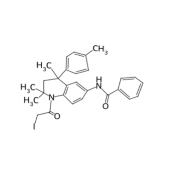 Cc1ccc(C2(C)CC(C)(C)N(C(=O)CI)c3ccc(NC(=O)c4ccccc4)cc32)cc1